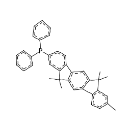 Cc1ccc2c(c1)C(C)(C)c1cc3c(cc1-2)C(C)(C)c1cc(P(c2ccccc2)c2ccccc2)ccc1-3